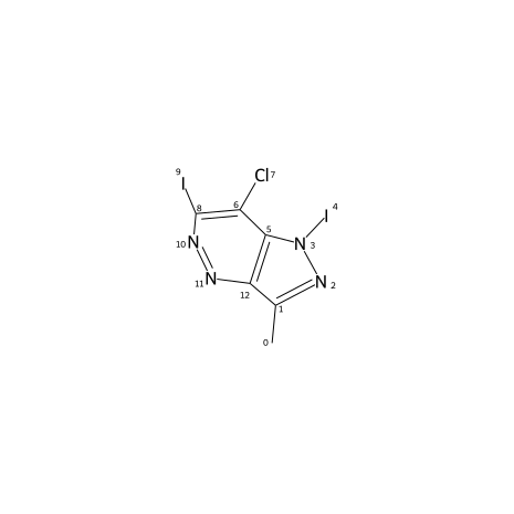 Cc1nn(I)c2c(Cl)c(I)nnc12